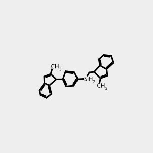 CC1=Cc2ccccc2C1C[SiH2]c1ccc(C2C(C)=Cc3ccccc32)cc1